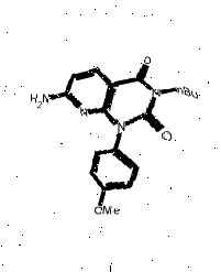 CCCCn1c(=O)c2ccc(N)nc2n(-c2ccc(OC)cc2)c1=O